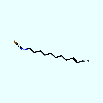 CCCCCCCCC=CCCCCCCCCN=C=S